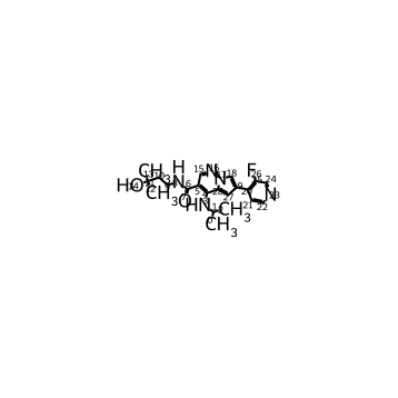 CC(C)Nc1c(C(=O)NCCC(C)(C)O)cnn2cc(-c3ccncc3F)cc12